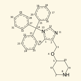 Cc1c(COC2CCNCC2)ncn1C(c1ccccc1)(c1ccccc1)c1ccccc1